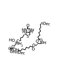 CCCCCCCCCCCCCCCCCC(=O)OC[C@H](CO)OC(=O)CCCCCCCCCCCCCCCCC.NCCOP(=O)(O)O.O=C(O)CCCC[C@@H]1SC[C@@H]2NC(=O)N[C@@H]21